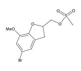 COc1cc(Br)cc2c1OC(COS(C)(=O)=O)C2